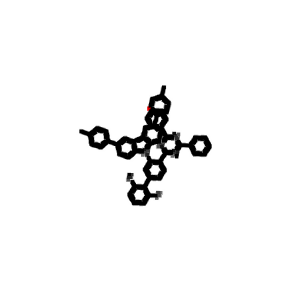 Cc1ccc(-c2ccc3c(c2)c2cc(-c4ccc(C)cc4)ccc2n3-c2cc(-c3c(F)cccc3F)ccc2-c2nc(-c3ccccc3)nc(-c3ccccc3)n2)cc1